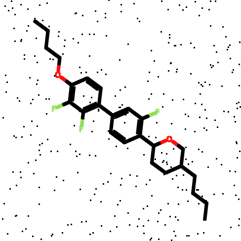 CCCCOc1ccc(-c2ccc(C3CCC(CCCC)CO3)c(F)c2)c(F)c1F